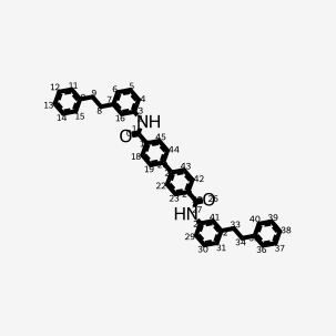 O=C(Nc1cccc(CCc2ccccc2)c1)c1ccc(-c2ccc(C(=O)Nc3cccc(CCc4ccccc4)c3)cc2)cc1